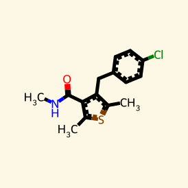 CNC(=O)c1c(C)sc(C)c1Cc1ccc(Cl)cc1